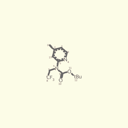 Cc1ccnc(N(CC(F)(F)F)C(=O)OC(C)(C)C)c1